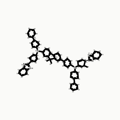 CC1C=C(N(c2ccc(-c3ccccc3)cc2)c2ccc(-c3ccc4c(c3)C(C)(C)c3cc(N(c5ccc(-c6ccccc6)cc5)c5ccc(-c6nc7ccccc7s6)cc5)ccc3-4)cc2)C=C[C@H]1c1nc2ccccc2s1